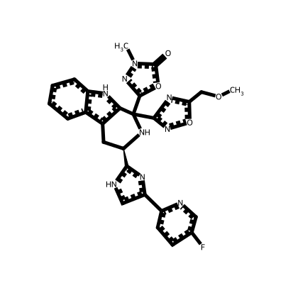 COCc1nc(C2(c3nn(C)c(=O)o3)N[C@@H](c3nc(-c4ccc(F)cn4)c[nH]3)Cc3c2[nH]c2ccccc32)no1